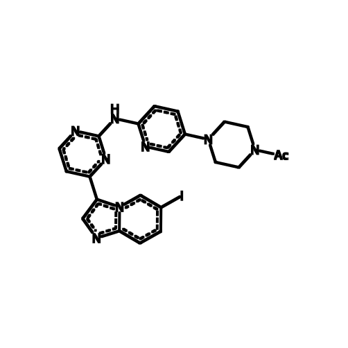 CC(=O)N1CCN(c2ccc(Nc3nccc(-c4cnc5ccc(I)cn45)n3)nc2)CC1